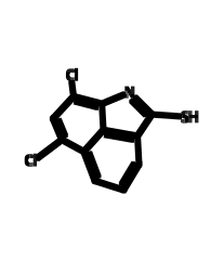 SC1=Nc2c(Cl)cc(Cl)c3cccc1c23